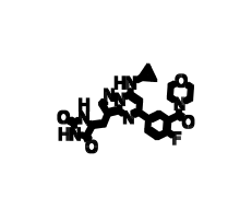 O=C1NC(=O)/C(=C/c2cnn3c(NC4CC4)cc(-c4ccc(F)c(C(=O)N5CCOCC5)c4)nc23)N1